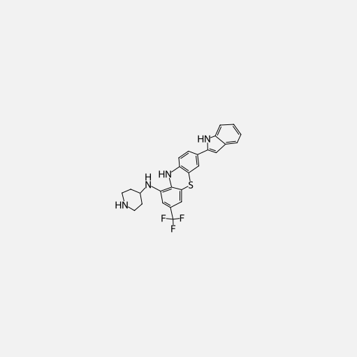 FC(F)(F)c1cc(NC2CCNCC2)c2c(c1)Sc1cc(-c3cc4ccccc4[nH]3)ccc1N2